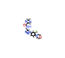 O=C(NCc1cn(-c2ccc(N3CCOCC3)c(F)c2)nn1)c1cnccn1